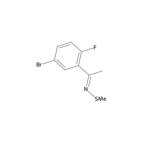 CS/N=C(\C)c1cc(Br)ccc1F